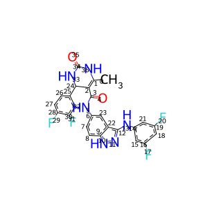 CC1=C(C(=O)Nc2ccc3[nH]nc(Nc4cc(F)cc(F)c4)c3c2)C(c2ccc(F)c(F)c2)NC(=O)N1